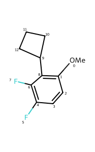 COc1ccc(F)c(F)c1C1CCC1